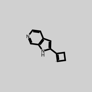 [C]1=C(c2cc3ccncc3[nH]2)CC1